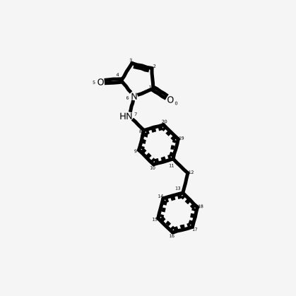 O=C1C=CC(=O)N1Nc1ccc(Cc2ccccc2)cc1